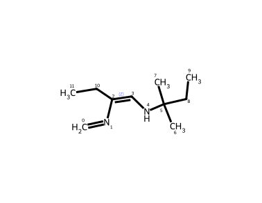 C=N/C(=C\NC(C)(C)CC)CC